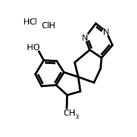 CC1CC2(CCc3cncnc3C2)c2cc(O)ccc21.Cl.Cl